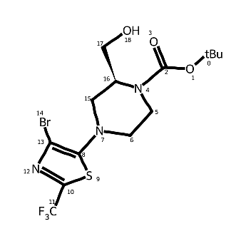 CC(C)(C)OC(=O)N1CCN(c2sc(C(F)(F)F)nc2Br)C[C@H]1CO